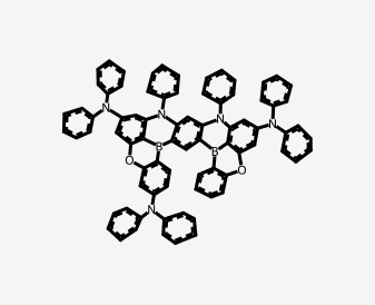 c1ccc(N(c2ccccc2)c2ccc3c(c2)Oc2cc(N(c4ccccc4)c4ccccc4)cc4c2B3c2cc3c(cc2N4c2ccccc2)N(c2ccccc2)c2cc(N(c4ccccc4)c4ccccc4)cc4c2B3c2ccccc2O4)cc1